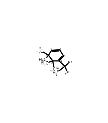 CC1(C)C=CC=C(C(F)(F)F)C1(C)C